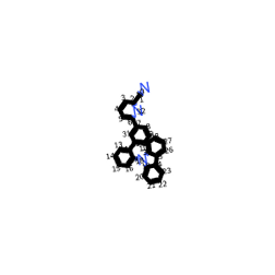 N#Cc1cccc(-c2cccc(-c3ccccc3-n3c4ccccc4c4ccccc43)c2)n1